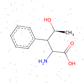 C[C@H](O)C(c1ccccc1)C(N)C(=O)O